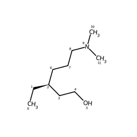 CC[C@H](CCO)CCCN(C)C